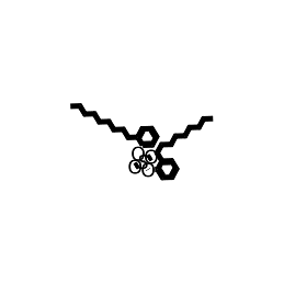 CCCCCCCCCc1ccccc1OS(=O)(=O)Oc1ccccc1CCCCCCCCC